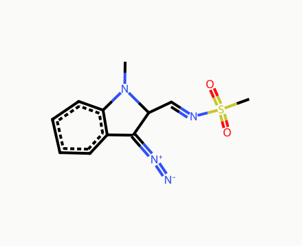 CN1c2ccccc2C(=[N+]=[N-])C1C=NS(C)(=O)=O